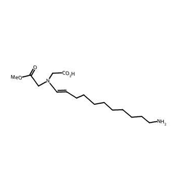 COC(=O)CN(C=CCCCCCCCCCN)CC(=O)O